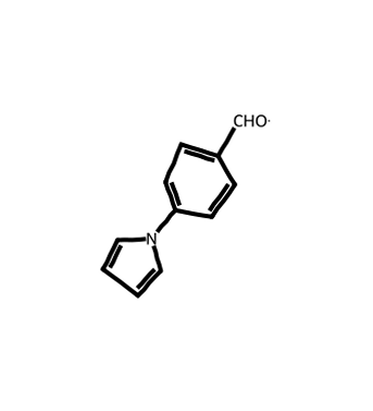 O=[C]c1ccc(-n2cccc2)cc1